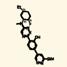 CC[C@@H]1CC[C@H](F)[C@H](N(C)c2cnc(-c3ccc(-c4cnnc(SC)c4)cc3O)nn2)C1